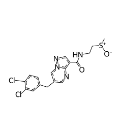 C[S+]([O-])CCNC(=O)c1cnn2cc(Cc3ccc(Cl)c(Cl)c3)cnc12